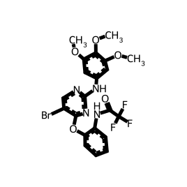 COc1cc(Nc2ncc(Br)c(Oc3ccccc3NC(=O)C(F)(F)F)n2)cc(OC)c1OC